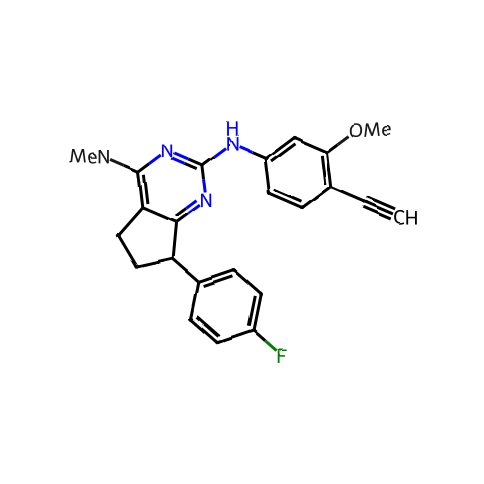 C#Cc1ccc(Nc2nc(NC)c3c(n2)C(c2ccc(F)cc2)CC3)cc1OC